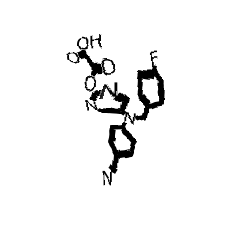 N#Cc1ccc(N(Cc2ccc(F)cc2)c2cnc(OC(=O)C(=O)O)nc2)cc1